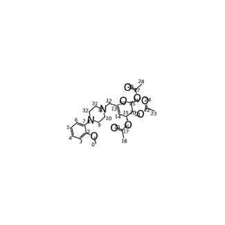 COc1ccccc1N1CCN(CC2=C[C@H](OC(C)=O)[C@@H](OC(C)=O)[C@H](OC(C)=O)O2)CC1